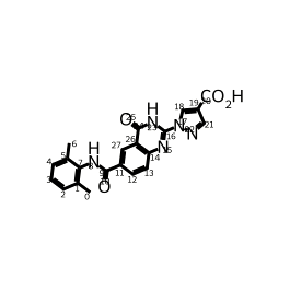 Cc1cccc(C)c1NC(=O)c1ccc2nc(-n3cc(C(=O)O)cn3)[nH]c(=O)c2c1